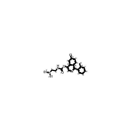 CCN(CC)CCNC(=O)Oc1cnc(-c2ccccc2C)c2ccc(Cl)cc12